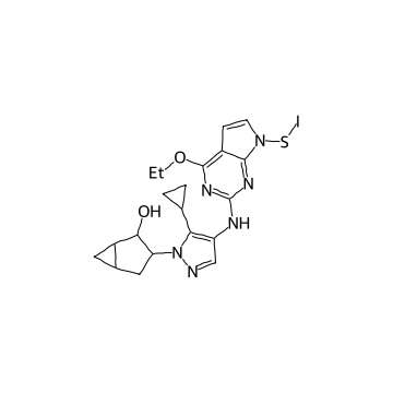 CCOc1nc(Nc2cnn(C3CC4CC4C3O)c2C2CC2)nc2c1ccn2SI